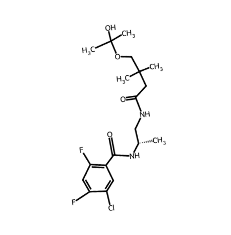 C[C@@H](CNC(=O)CC(C)(C)COC(C)(C)O)NC(=O)c1cc(Cl)c(F)cc1F